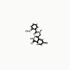 CN(Cc1n[nH]c(=O)c2ncc(Br)cc12)C(=O)c1ccccc1C=O